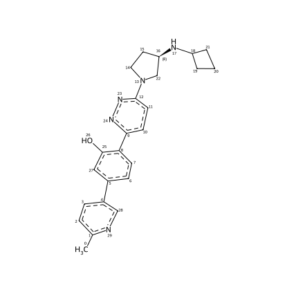 Cc1ccc(-c2ccc(-c3ccc(N4CC[C@@H](NC5CCC5)C4)nn3)c(O)c2)cn1